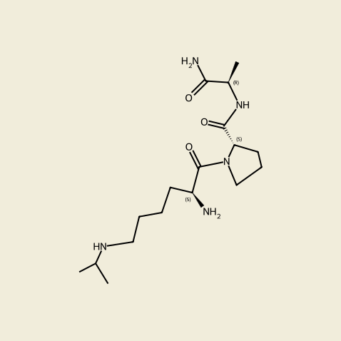 CC(C)NCCCC[C@H](N)C(=O)N1CCC[C@H]1C(=O)N[C@H](C)C(N)=O